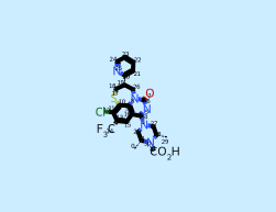 C[C@@H]1CN(c2nc(=O)n3c4c(c(Cl)c(C(F)(F)F)cc24)SC[C@H](c2ccccn2)C3)C[C@H](C)N1C(=O)O